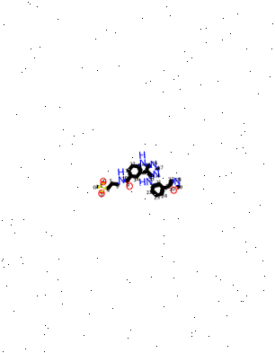 CS(=O)(=O)CCCNC(=O)C1CCc2[nH]c3ncnc(Nc4cccc(-c5cnco5)c4)c3c2C1